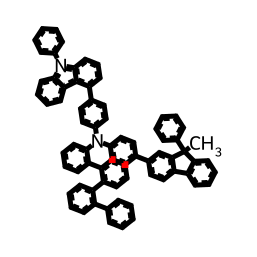 CC1(c2ccccc2)c2ccccc2-c2ccc(-c3ccc(N(c4ccc(-c5cccc6c5c5ccccc5n6-c5ccccc5)cc4)c4ccccc4-c4ccccc4-c4ccccc4-c4ccccc4)cc3)cc21